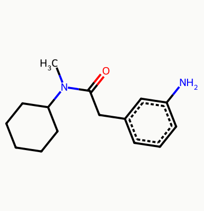 CN(C(=O)Cc1cccc(N)c1)C1CCCCC1